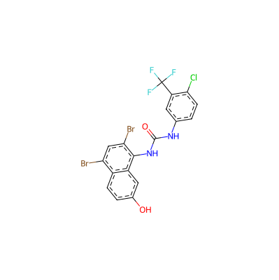 O=C(Nc1ccc(Cl)c(C(F)(F)F)c1)Nc1c(Br)cc(Br)c2ccc(O)cc12